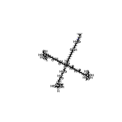 CC(=O)NC1C(O)[C@H](O)C(CO)O[C@H]1OCCCCC(=O)NCCCNC(=O)CCOCC(COCCC(=O)NCCCNC(=O)CCCCO[C@@H]1OC(CO)[C@@H](O)C(O)C1NC(C)=O)(COCCC(=O)NCCCNC(=O)CCCCO[C@@H]1OC(CO)[C@@H](O)C(O)C1NC(C)=O)NC(=O)CCCCCCCCCCC(=O)NCCCCCCNC(=O)/C=C/CSC(C)C